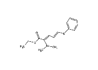 CCOC(=O)/C(=C/C=C/Sc1ccccc1)N(C)C